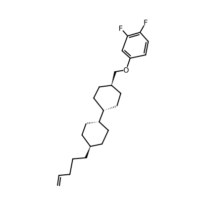 C=CCCC[C@H]1CC[C@H]([C@H]2CC[C@H](COc3ccc(F)c(F)c3)CC2)CC1